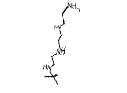 CC(C)(C)NCCNCCNCCN